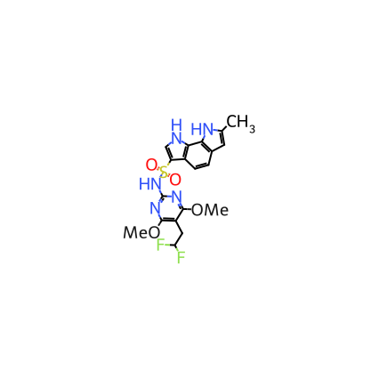 COc1nc(NS(=O)(=O)c2c[nH]c3c2ccc2cc(C)[nH]c23)nc(OC)c1CC(F)F